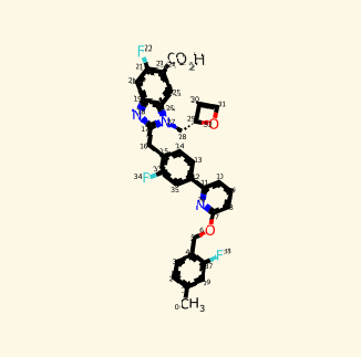 Cc1ccc(COc2cccc(-c3ccc(Cc4nc5cc(F)c(C(=O)O)cc5n4C[C@@H]4CCO4)c(F)c3)n2)c(F)c1